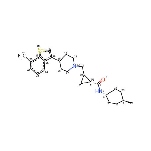 C[C@H]1CC[C@H](NC(=O)[C@@H]2CC2CN2CCC(c3csc4c(C(F)(F)F)cccc34)CC2)CC1